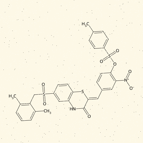 Cc1ccc(S(=O)(=O)Oc2ccc(/C=C3\Sc4ccc(S(=O)(=O)Cc5c(C)cccc5C)cc4NC3=O)cc2[N+](=O)[O-])cc1